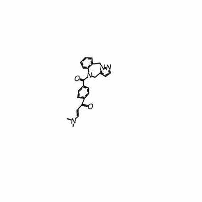 CN(C)C=CC(=O)c1ccc(C(=O)N2Cc3ccnn3Cc3ccccc32)cc1